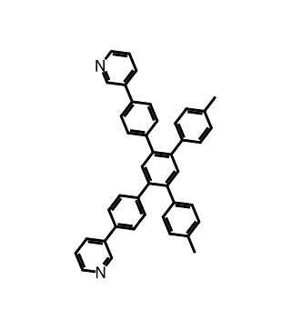 Cc1ccc(-c2cc(-c3ccc(C)cc3)c(-c3ccc(-c4cccnc4)cc3)cc2-c2ccc(-c3cccnc3)cc2)cc1